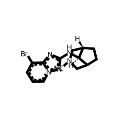 N#CN1CC2CC[C@@H](C1)[C@@H]2Nc1nc2c(Br)cccn2n1